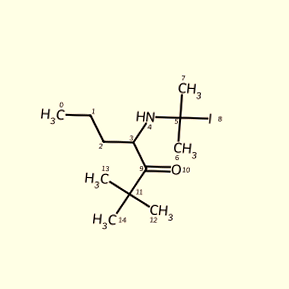 CCCC(NC(C)(C)I)C(=O)C(C)(C)C